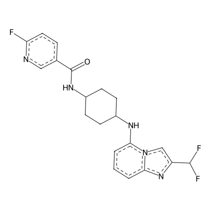 O=C(NC1CCC(Nc2cccc3nc(C(F)F)cn23)CC1)c1ccc(F)nc1